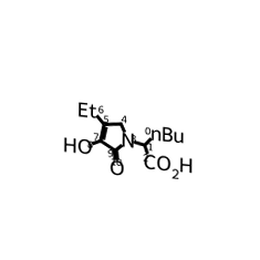 CCCCC(C(=O)O)N1CC(CC)=C(O)C1=O